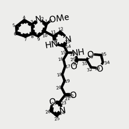 COc1nc2ccccc2cc1-c1cnc(C(CCCCCC(=O)c2ncco2)NC(=O)C2COCCO2)[nH]1